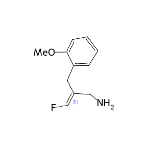 COc1ccccc1C/C(=C\F)CN